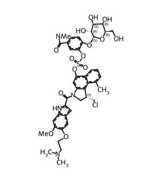 CNC(=O)c1ccc(O[C@@H]2O[C@H](CO)[C@H](O)[C@H](O)[C@H]2O)c(OS(=O)(=O)Oc2cc3c(c4c(C)cccc24)[C@H](CCl)CN3C(=O)c2cc3cc(OCCN(C)C)c(OC)cc3[nH]2)c1